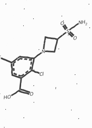 NS(=O)(=O)C1CN(c2cc(F)cc(C(=O)O)c2Cl)C1